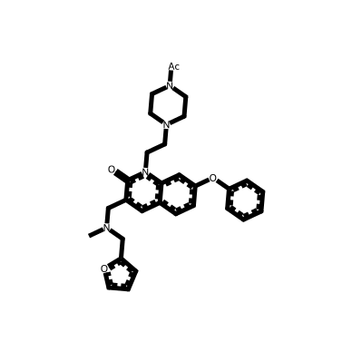 CC(=O)N1CCN(CCn2c(=O)c(CN(C)Cc3ccco3)cc3ccc(Oc4ccccc4)cc32)CC1